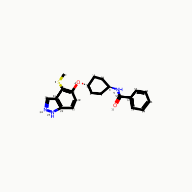 CSc1c(O[C@H]2CC[C@H](NC(=O)c3ccccc3)CC2)ccc2[nH]ncc12